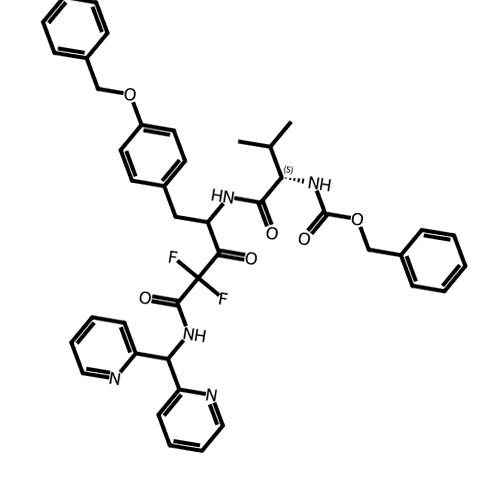 CC(C)[C@H](NC(=O)OCc1ccccc1)C(=O)NC(Cc1ccc(OCc2ccccc2)cc1)C(=O)C(F)(F)C(=O)NC(c1ccccn1)c1ccccn1